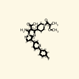 CO[C@H](C)C(=O)N1CCC(c2nc3c(-c4ccc(-c5ccc(F)cc5)nc4)cnn3c(N)c2C(C)=O)CC1